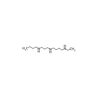 CCCCNCCCNCCCCNCC